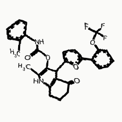 CC1=C(OC(=O)Nc2ccccc2C)C(c2ccc(-c3ccccc3OC(F)(F)F)o2)C2=C(CCCC2=O)N1